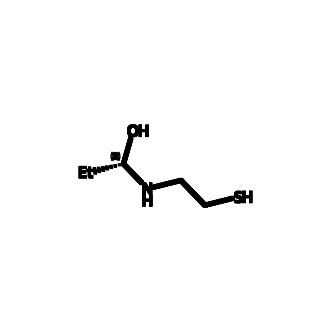 CC[C@H](O)NCCS